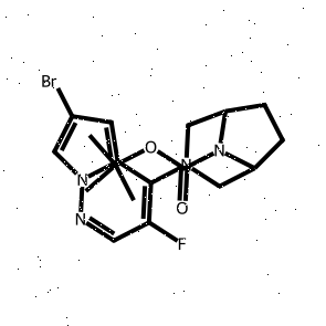 CC(C)(C)OC(=O)N1C2CCC1CN(c1c(F)cnn3cc(Br)cc13)C2